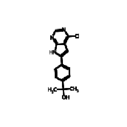 CC(C)(O)c1ccc(-c2cc3c(Cl)ncnc3[nH]2)cc1